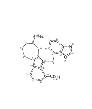 CCCCCCC1CCCc2c(n(Cc3cccc4ncoc34)c3c(C(=O)O)cccc23)C1